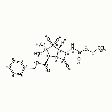 CC1(C)[C@H](C(=O)OCc2ccccc2)N2C(=O)[C@@H](NC(=O)OCC(Cl)(Cl)Cl)[C@H]2S1(=O)=O